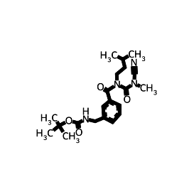 CC(C)CCN(C(=O)c1cccc(CNC(=O)OC(C)(C)C)c1)C(=O)N(C)C#N